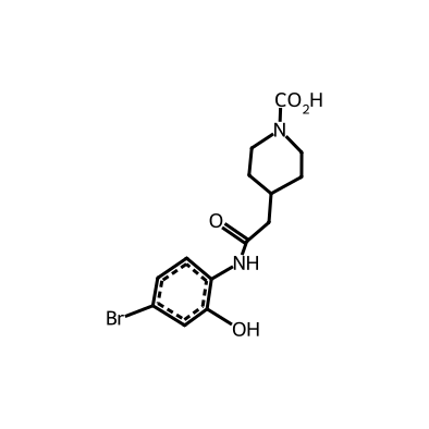 O=C(CC1CCN(C(=O)O)CC1)Nc1ccc(Br)cc1O